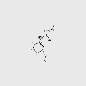 CCNC(=O)Nc1cc(CC)ccn1